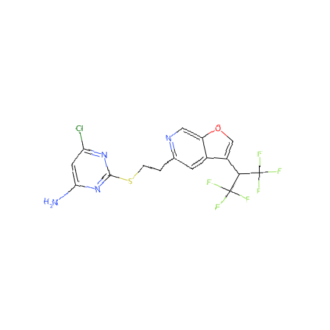 Nc1cc(Cl)nc(SCCc2cc3c(C(C(F)(F)F)C(F)(F)F)coc3cn2)n1